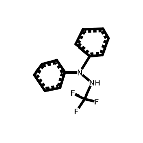 FC(F)(F)NN(c1ccccc1)c1ccccc1